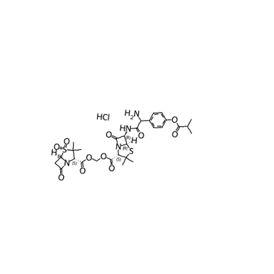 CC(C)C(=O)Oc1ccc(C(N)C(=O)N[C@@H]2C(=O)N3[C@@H]2SC(C)(C)[C@@H]3C(=O)OCOC(=O)[C@@H]2N3C(=O)C[C@H]3S(=O)(=O)C2(C)C)cc1.Cl